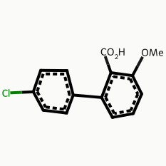 COc1cccc(-c2ccc(Cl)cc2)c1C(=O)O